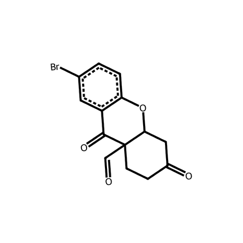 O=CC12CCC(=O)CC1Oc1ccc(Br)cc1C2=O